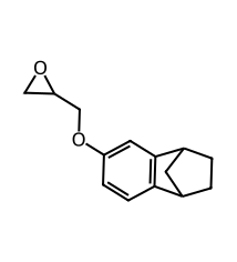 c1cc2c(cc1OCC1CO1)C1CCC2C1